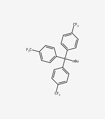 CCCC[B-](c1ccc(C(F)(F)F)cc1)(c1ccc(C(F)(F)F)cc1)c1ccc(C(F)(F)F)cc1